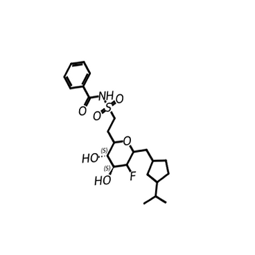 CC(C)C1CCC(CC2OC(CCS(=O)(=O)NC(=O)c3ccccc3)[C@@H](O)[C@H](O)C2F)C1